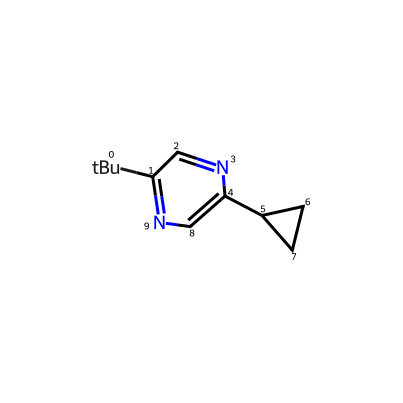 CC(C)(C)c1cnc(C2CC2)cn1